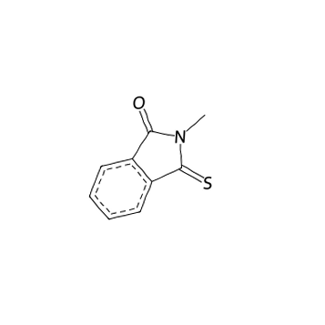 CN1C(=O)c2ccccc2C1=S